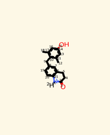 [2H]N1C(=O)CCc2cc(Cc3c(C)cc(O)cc3C)ccc21